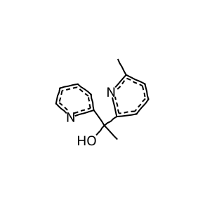 Cc1cccc(C(C)(O)c2ccccn2)n1